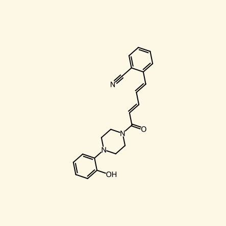 N#Cc1ccccc1C=CC=CC(=O)N1CCN(c2ccccc2O)CC1